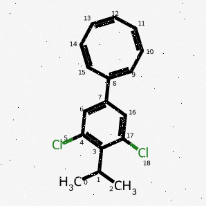 CC(C)c1c(Cl)cc(C2=C/C=C\C=C/C=C\2)cc1Cl